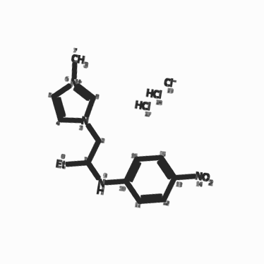 CCC(Cn1cc[n+](C)c1)Nc1ccc([N+](=O)[O-])cc1.Cl.Cl.[Cl-]